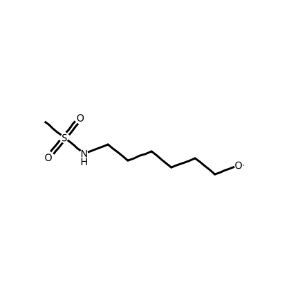 CS(=O)(=O)NCCCCCC[O]